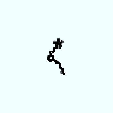 COCCCC#Cc1cccc(OCCNC(=O)C(F)(F)F)c1